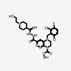 CC(C)(C)OC(=O)N1CCN(Cc2c(Cl)ccc(F)c2Cl)c2cc(C(=O)NNC(=N)C3CCN(CCO)CC3)nnc21